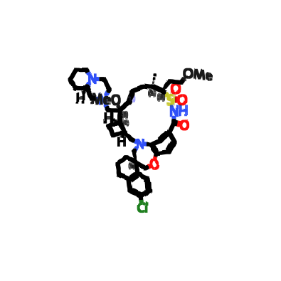 COCC[C@@H]1[C@@H](C)C/C=C/[C@](CN2CCN3CCCC[C@@H]3C2)(OC)[C@@H]2CC[C@H]2CN2C[C@@]3(CCCc4cc(Cl)ccc43)COc3ccc(cc32)C(=O)NS1(=O)=O